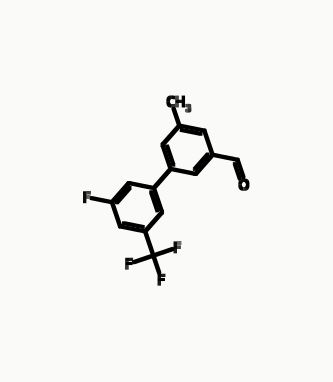 Cc1cc(C=O)cc(-c2cc(F)cc(C(F)(F)F)c2)c1